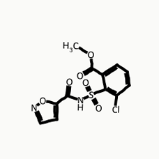 COC(=O)c1cccc(Cl)c1S(=O)(=O)NC(=O)c1ccno1